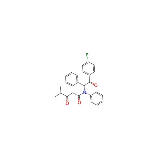 CC(C)C(=O)CC(=O)N(c1ccccc1)C(C(=O)c1ccc(F)cc1)c1ccccc1